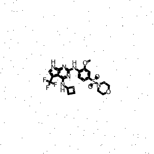 COc1cc(S(=O)(=O)N2CCOCC2)ccc1Nc1nc(NC2CCC2)c2c(C(F)(F)F)c[nH]c2n1